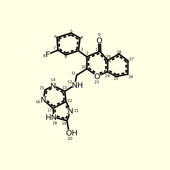 O=c1c(-c2cccc(F)c2)c(CNc2ncnc3[nH]c(O)nc23)oc2ccccc12